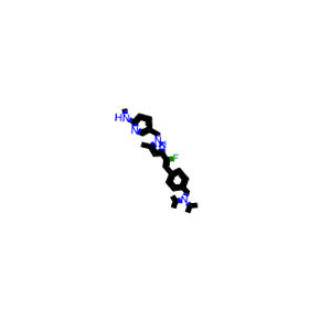 CNc1ccc(Cn2nc(C(F)=Cc3ccc(CN(C(C)C)C(C)C)cc3)cc2C)cn1